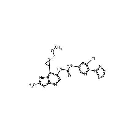 COC[C@H]1CC1c1c(NC(=O)Nc2cnc(-n3nccn3)c(Cl)c2)cnc2sc(C)nc12